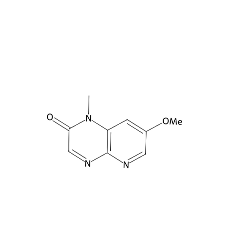 COc1cnc2ncc(=O)n(C)c2c1